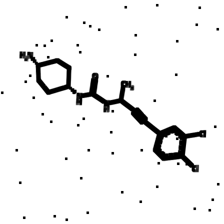 CC(C#Cc1ccc(Cl)c(Cl)c1)NC(=O)N[C@H]1CC[C@@H](N)CC1